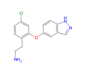 NCCc1ccc(Cl)cc1Oc1ccc2[nH]ncc2c1